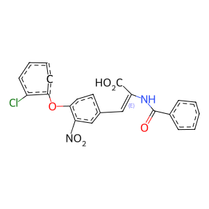 O=C(O)/C(=C\c1ccc(Oc2ccccc2Cl)c([N+](=O)[O-])c1)NC(=O)c1ccccc1